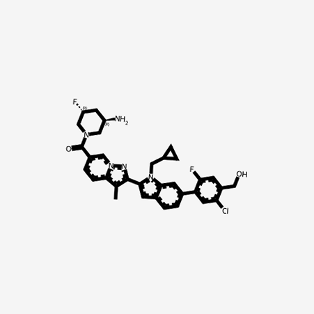 Cc1c(-c2cc3ccc(-c4cc(Cl)c(CO)cc4F)cc3n2CC2CC2)nn2cc(C(=O)N3C[C@H](N)C[C@@H](F)C3)ccc12